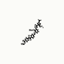 COc1c(CNC(=O)c2cc(C3CC3)nn2C)cccc1OCc1ccc(C(=O)NN2CCN(C(=O)OC(C)(C)C)CC2)cc1